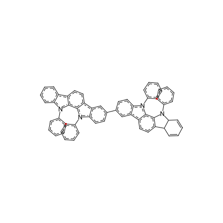 C1=CC2c3ccc4c5cc(-c6ccc7c(c6)c6ccc8c9ccccc9n(-c9ccccc9)c8c6n7-c6ccccc6)ccc5n(-c5ccccc5)c4c3N(c3ccccc3)C2C=C1